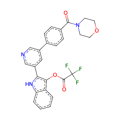 O=C(c1ccc(-c2cncc(-c3[nH]c4ccccc4c3OC(=O)C(F)(F)F)c2)cc1)N1CCOCC1